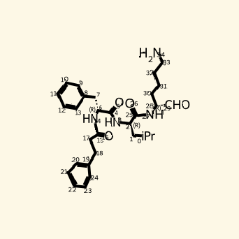 CC(C)C[C@@H](NC(=O)[C@@H](Cc1ccccc1)NC(=O)CCc1ccccc1)C(=O)N[C@@H](C=O)CCCCN